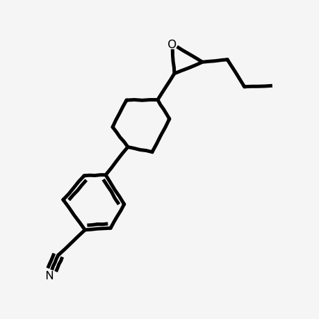 CCCC1OC1C1CCC(c2ccc(C#N)cc2)CC1